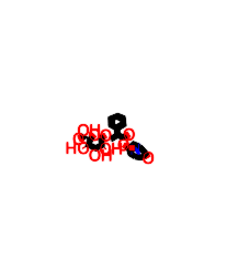 CN1C2CC(OC(=O)C(COC3O[C@H](C(=O)O)[C@@H](O)[C@H](O)[C@H]3O)c3ccccc3)CC1C1OC12